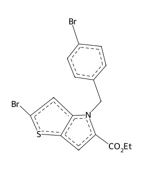 CCOC(=O)c1cc2sc(Br)cc2n1Cc1ccc(Br)cc1